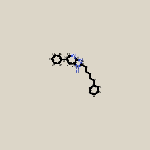 c1ccc(CCCCCc2nc3ncc(-c4ccccc4)cc3[nH]2)cc1